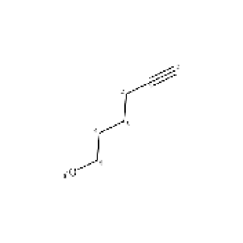 C#CCCCC[O]